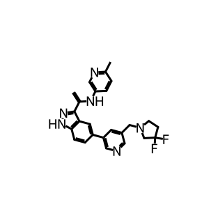 C=C(Nc1ccc(C)nc1)c1n[nH]c2ccc(-c3cncc(CN4CCC(F)(F)C4)c3)cc12